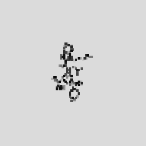 CC(C)CN(C(=O)c1nc2ccccc2n1CCCO)[C@H]1C[C@@H](C(=O)N2CCOCC2)CN(C(=O)O)C1